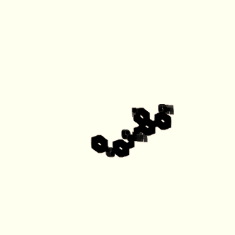 O=C(Cc1ccc(Oc2ccccc2)cc1)NCc1ccc(-c2cccc(O)c2)c2ccncc12